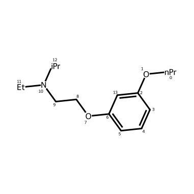 CCCOc1cccc(OCCN(CC)C(C)C)c1